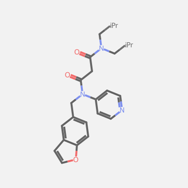 CC(C)CN(CC(C)C)C(=O)CC(=O)N(Cc1ccc2occc2c1)c1ccncc1